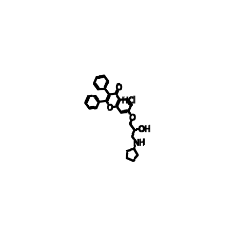 Cl.O=c1c(-c2ccccc2)c(-c2ccccc2)oc2cc(OCC(O)CNC3CCCC3)ccc12